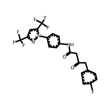 O=C(CC(=O)Nc1ccc(-n2nc(C(F)(F)F)cc2C(F)(F)F)cc1)Cc1ccc(F)cc1